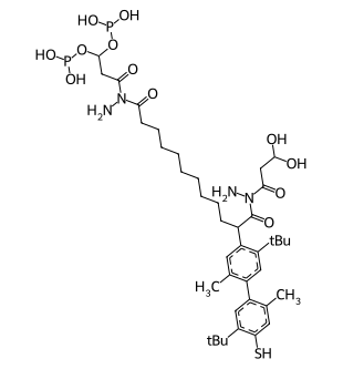 Cc1cc(S)c(C(C)(C)C)cc1-c1cc(C(C)(C)C)c(C(CCCCCCCCCC(=O)N(N)C(=O)CC(OP(O)O)OP(O)O)C(=O)N(N)C(=O)CC(O)O)cc1C